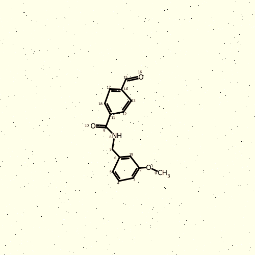 COc1cccc(CNC(=O)c2ccc(C=O)cc2)c1